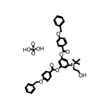 CC(C)(C)N(CCO)c1cc(OC(=O)c2ccc(OCc3ccccc3)cc2)cc(OC(=O)c2ccc(OCc3ccccc3)cc2)c1.O=S(=O)(O)O